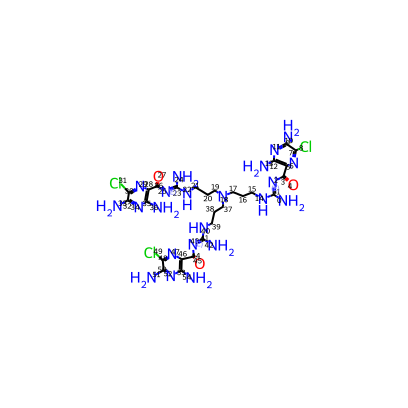 N/C(=N\C(=O)c1nc(Cl)c(N)nc1N)NCCCN(CCCN/C(N)=N/C(=O)c1nc(Cl)c(N)nc1N)CCCN/C(N)=N/C(=O)c1nc(Cl)c(N)nc1N